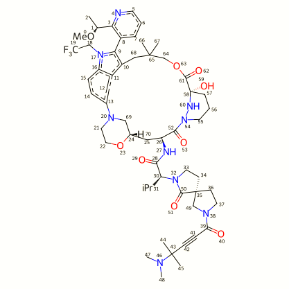 CO[C@@H](C)c1ncccc1-c1c2c3cc(ccc3n1CC(F)(F)F)N1CCO[C@@H](C[C@H](NC(=O)[C@H](C(C)C)N3CC[C@@]4(CCN(C(=O)C#CC(C)(C)N(C)C)C4)C3=O)C(=O)N3CCC[C@@](O)(N3)C(=O)OCC(C)(C)C2)C1